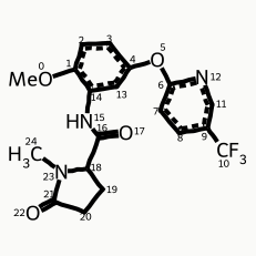 COc1ccc(Oc2ccc(C(F)(F)F)cn2)cc1NC(=O)C1CCC(=O)N1C